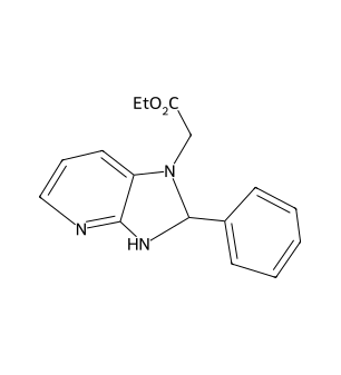 CCOC(=O)CN1c2cccnc2NC1c1ccccc1